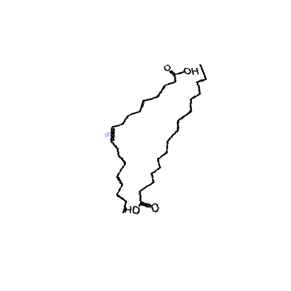 CCCCCCCC/C=C\CCCCCCCC(=O)O.CCCCCCCCCCCCCCCC(=O)O